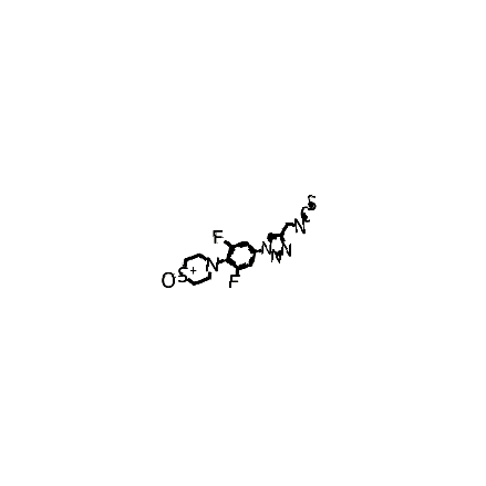 [O-][S+]1CCN(c2c(F)cc(-n3cc(CN=C=S)nn3)cc2F)CC1